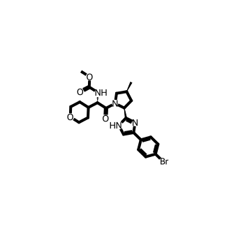 COC(=O)N[C@H](C(=O)N1C[C@@H](C)C[C@H]1c1nc(-c2ccc(Br)cc2)c[nH]1)C1CCOCC1